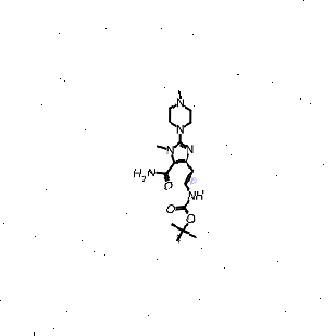 CN1CCN(c2nc(/C=C/NC(=O)OC(C)(C)C)c(C(N)=O)n2C)CC1